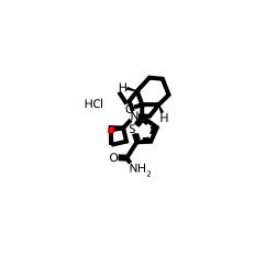 COC1(c2ccc(C(N)=O)s2)[C@@H]2CCC[C@H]1CN(C13CC(C1)C3)C2.Cl